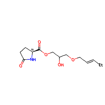 CCC=CCOCC(O)COC(=O)[C@@H]1CCC(=O)N1